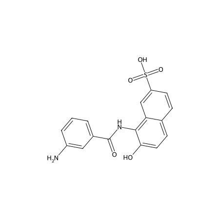 Nc1cccc(C(=O)Nc2c(O)ccc3ccc(S(=O)(=O)O)cc23)c1